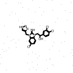 N=c1n(Cc2c[nH]nn2)c2cc(Cl)ccc2n1CC(O)c1ccc(Cl)c(Cl)c1